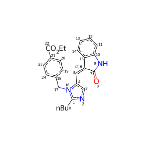 CCCCc1ncc(/C=C2\C(=O)Nc3ccccc32)n1Cc1ccc(C(=O)OCC)cc1